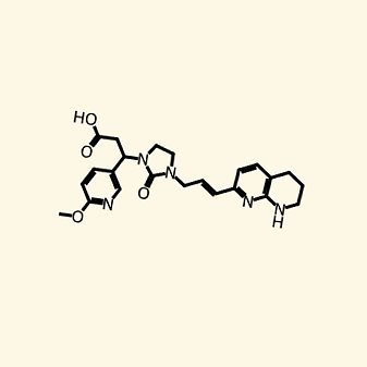 COc1ccc(C(CC(=O)O)N2CCN(CC=Cc3ccc4c(n3)NCCC4)C2=O)cn1